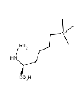 C[N+](C)(C)CCCC[C@H]([NH][InH2])C(=O)O